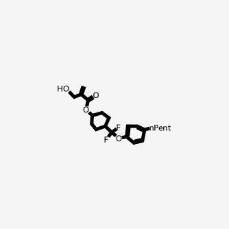 C=C(CO)C(=O)OC1CCC(C(F)(F)Oc2ccc(CCCCC)cc2)CC1